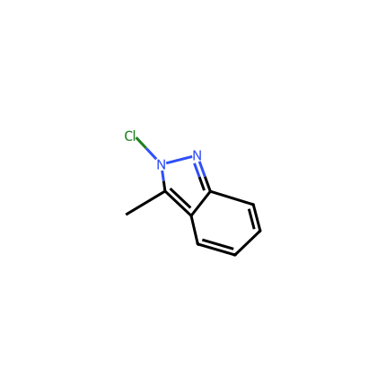 Cc1c2ccccc2nn1Cl